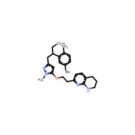 Cc1ccc(C(C)(C)C)cc1C(CC(=O)O)Cc1cc(OCCc2ccc3c(n2)NCCC3)n(C)n1